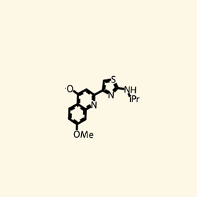 COc1ccc2c([O])cc(-c3csc(NC(C)C)n3)nc2c1